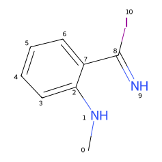 CNc1ccccc1C(=N)I